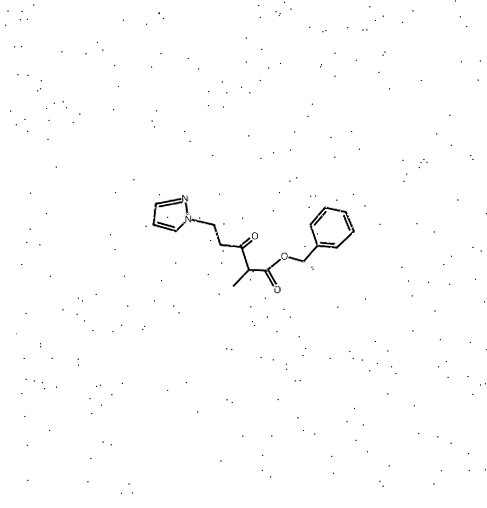 CC(C(=O)CCn1cccn1)C(=O)OCc1ccccc1